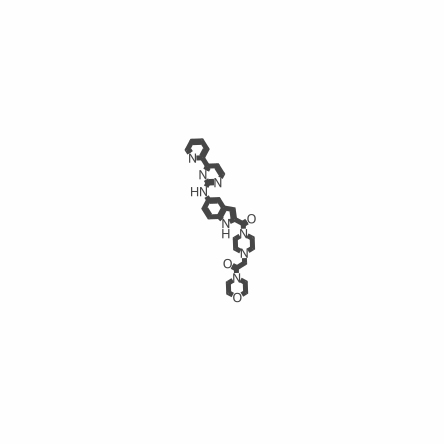 O=C(CN1CCN(C(=O)c2cc3cc(Nc4nccc(-c5ccccn5)n4)ccc3[nH]2)CC1)N1CCOCC1